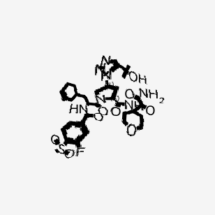 CC(C)(O)c1cnnn1[C@H]1C[C@@H](C(=O)NC2(C(=O)C(N)=O)CCOCC2)N(C(=O)C(CC2CCCCC2)NC(=O)c2ccc(S(C)(=O)=O)c(F)c2)C1